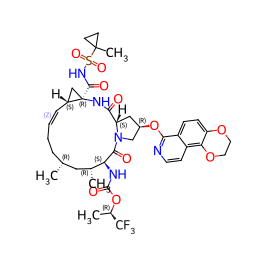 C[C@@H]1CC/C=C\[C@@H]2C[C@@]2(C(=O)NS(=O)(=O)C2(C)CC2)NC(=O)[C@@H]2C[C@@H](Oc3nccc4c5c(ccc34)OCCO5)CN2C(=O)[C@@H](NC(=O)O[C@H](C)C(F)(F)F)[C@H](C)C1